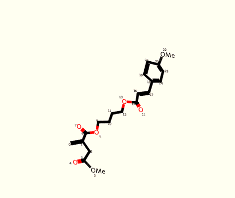 C=C(CC(=O)OC)C(=O)OCCCCOC(=O)/C=C/c1ccc(OC)cc1